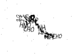 CCCC(C(=O)NC=O)N(C)Cc1c(C=O)cccc1NC(=O)CCCNCCN/C=C(/CNC=O)N=N